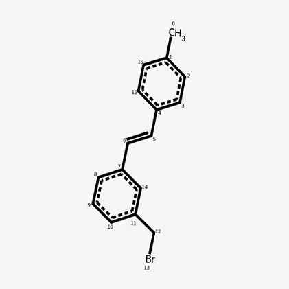 Cc1ccc(/C=C/c2cccc(CBr)c2)cc1